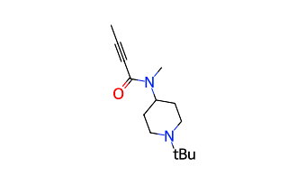 CC#CC(=O)N(C)C1CCN(C(C)(C)C)CC1